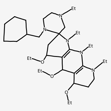 CCOC1CCN(CC)C2=C1C(OCC)C1=C(N2CC)N(CC)C2(CC1OCC)CN(CC)CCN2CC1CCCCC1